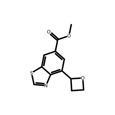 COC(=O)c1cc(C2CCO2)c2ncsc2c1